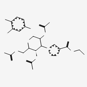 CCOC(=O)c1cn(C2C(OC(C)=O)[C@@H](Sc3ccc(Cl)c(Cl)c3)OC(COC(C)=O)[C@@H]2OC(C)=O)nn1